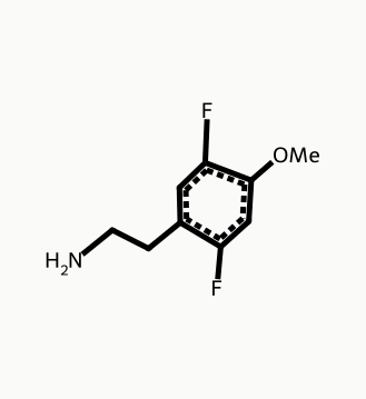 COc1cc(F)c(CCN)cc1F